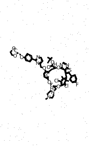 Cc1c(Cl)c2c(Cl)c(C)c1-c1c(-c3ccc(F)cc3)sc3ncnc(c13)O[C@@H](C(=O)OC(C)(C)C)Cc1cc(ccc1OCc1ccnc(-c3ccc(OC[C@H]4COCCO4)cc3)n1)OC[C@@H](CN1CCN(C)CC1)O2